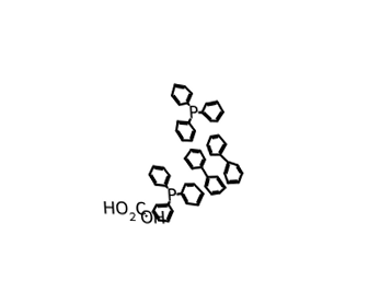 O=C(O)O.c1ccc(-c2ccccc2)cc1.c1ccc(-c2ccccc2)cc1.c1ccc(P(c2ccccc2)c2ccccc2)cc1.c1ccc(P(c2ccccc2)c2ccccc2)cc1